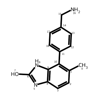 Cc1ccc2nc(O)[nH]c2c1-c1ccc(CN)cc1